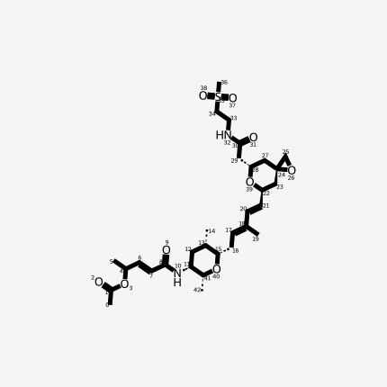 CC(=O)OC(C)C=CC(=O)N[C@@H]1C[C@H](C)[C@H](C/C=C(C)/C=C/[C@@H]2C[C@]3(CO3)C[C@@H](CC(=O)NCCS(C)(=O)=O)O2)O[C@@H]1C